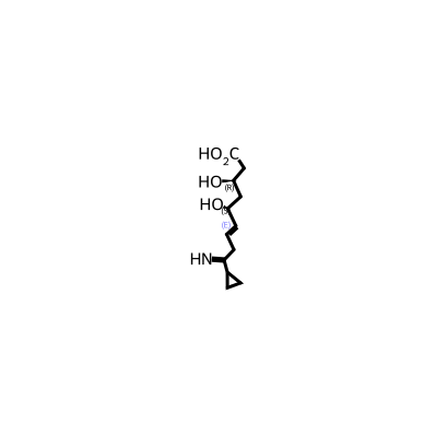 N=C(C/C=C/[C@@H](O)C[C@@H](O)CC(=O)O)C1CC1